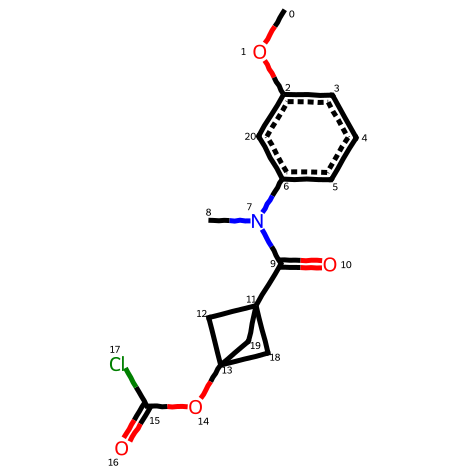 COc1cccc(N(C)C(=O)C23CC(OC(=O)Cl)(C2)C3)c1